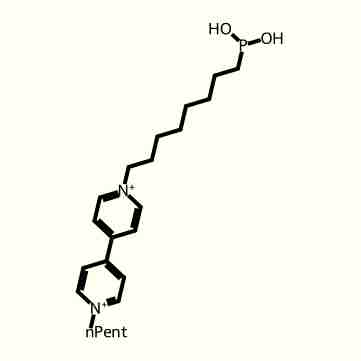 CCCCC[n+]1ccc(-c2cc[n+](CCCCCCCCP(O)O)cc2)cc1